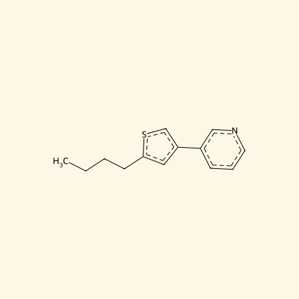 CCCCc1cc(-c2cccnc2)cs1